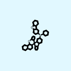 c1ccc(N(c2ccc3c(c2)C2(c4ccccc4Oc4c2ccc2ccccc42)c2ccccc2-3)c2ccc3oc4ccccc4c3c2)cc1